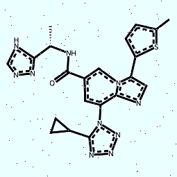 Cc1ccc(-c2cnc3c(-n4nnnc4C4CC4)cc(C(=O)N[C@@H](C)c4nnc[nH]4)cn23)s1